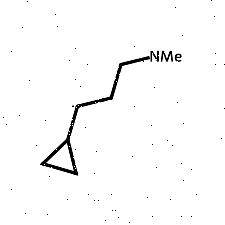 CNCC[CH]C1CC1